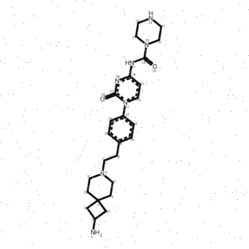 NC1CC2(CCN(CCc3ccc(-n4ccc(NC(=O)N5CCNCC5)nc4=O)cc3)CC2)C1